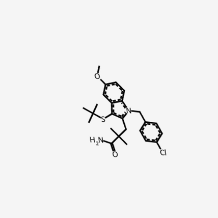 COc1ccc2c(c1)c(SC(C)(C)C)c(CC(C)(C)C(N)=O)n2Cc1ccc(Cl)cc1